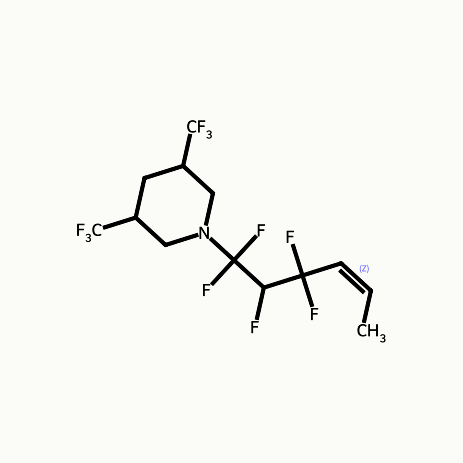 C/C=C\C(F)(F)C(F)C(F)(F)N1CC(C(F)(F)F)CC(C(F)(F)F)C1